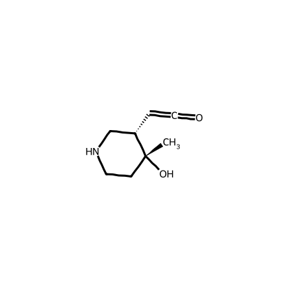 C[C@@]1(O)CCNC[C@@H]1C=C=O